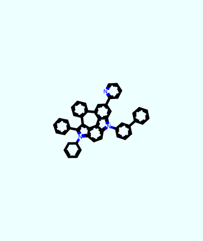 C1=CCC(n2c(-c3ccccc3)c3c4c5c6c(cc(-c7ccccn7)cc6n(-c6cccc(-c7ccccc7)c6)c5ccc42)-c2ccccc2-3)C=C1